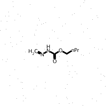 C=NNC(=O)OCCCC